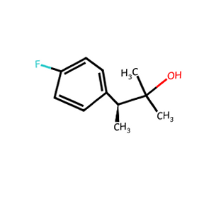 C[C@@H](c1ccc(F)cc1)C(C)(C)O